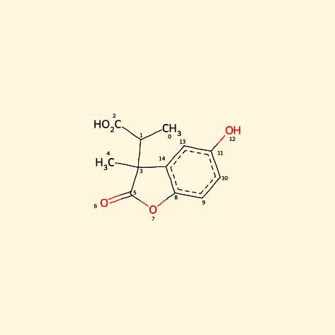 CC(C(=O)O)C1(C)C(=O)Oc2ccc(O)cc21